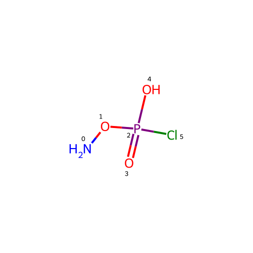 NOP(=O)(O)Cl